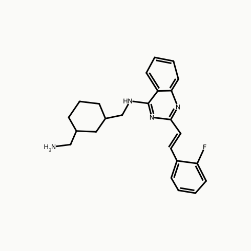 NCC1CCCC(CNc2nc(C=Cc3ccccc3F)nc3ccccc23)C1